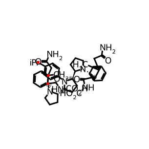 CC(C)c1ccc(N2[C@@H](C3CCCN3[C@@]3(C(=O)NC(=O)O)c4ccc(cc4)C3(C)CC(N)=O)CC[C@@H]2C2CCCN2[C@@]2(C(=O)NC(=O)O)c3ccc(cc3)C2(C)CC(N)=O)cc1